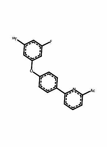 CC(=O)c1cccc(-c2ccc(Oc3cc(F)cc([18F])c3)cc2)n1